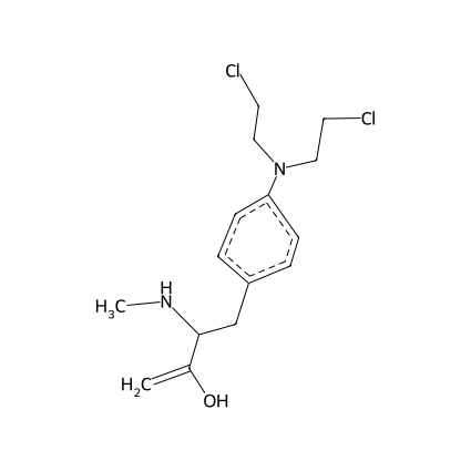 C=C(O)C(Cc1ccc(N(CCCl)CCCl)cc1)NC